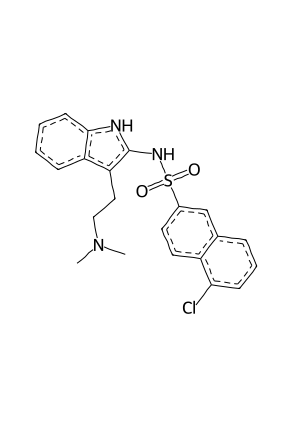 CN(C)CCc1c(NS(=O)(=O)c2ccc3c(Cl)cccc3c2)[nH]c2ccccc12